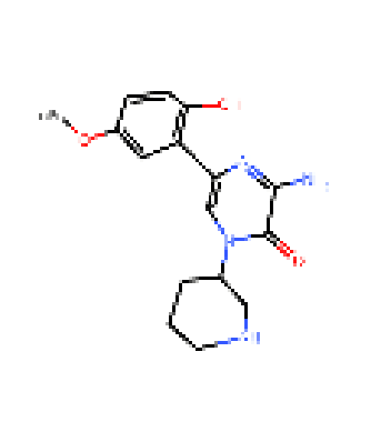 CCCOc1ccc(O)c(-c2cn(C3CCCNC3)c(=O)c(N)n2)c1